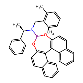 Cc1cccc(C)c1CN([C@H](C)c1ccccc1)p1oc2ccc3ccccc3c2c2c(ccc3ccccc32)o1